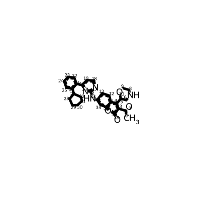 CC(=O)c1c(C2CNCCO2)c2ccc(Nc3nccc(-c4ccccc4C4CCCCC4)n3)cc2oc1=O